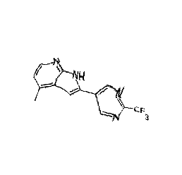 Cc1ccnc2[nH]c(-c3cnc(C(F)(F)F)nc3)cc12